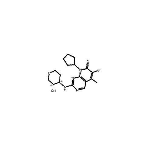 Cc1c(Br)c(=O)n(C2CCCC2)c2nc(N[C@@H]3CCOC[C@H]3O)ncc12